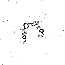 CCc1ccc(OC(=O)NC2CCC(CC3CCC(NC(=O)Oc4ccc(CC)cc4)CC3)CC2)cc1